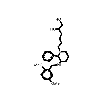 COc1ccc(OC)c(CNC2CCCN(CCCCC(O)CO)C2c2ccccc2)c1